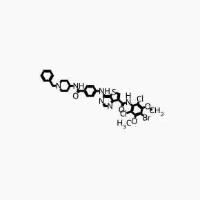 COc1c(Cl)c(NC(=O)c2csc3c(Nc4ccc(C(=O)NC5CCN(Cc6ccccc6)CC5)cc4)ncnc23)c(Cl)c(OC)c1Br